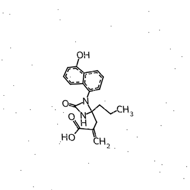 C=C(CC1(CCC)NC(=O)N1c1cccc2c(O)cccc12)C(=O)O